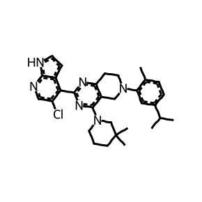 Cc1ccc(C(C)C)cc1N1CCc2nc(-c3c(Cl)cnc4[nH]ccc34)nc(N3CCCC(C)(C)C3)c2C1